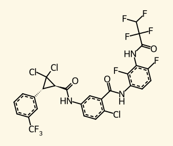 O=C(Nc1ccc(F)c(NC(=O)C(F)(F)C(F)F)c1F)c1cc(NC(=O)[C@H]2[C@H](c3cccc(C(F)(F)F)c3)C2(Cl)Cl)ccc1Cl